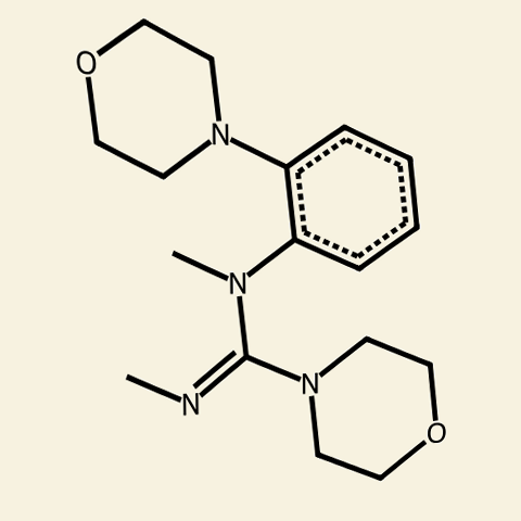 CN=C(N1CCOCC1)N(C)c1ccccc1N1CCOCC1